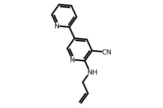 C=CCNc1ncc(-c2ccccn2)cc1C#N